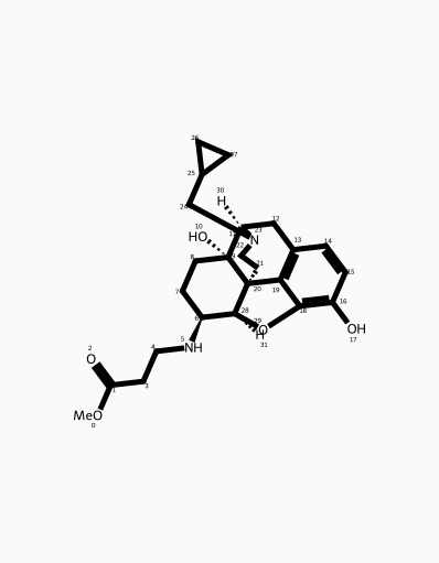 COC(=O)CCN[C@H]1CC[C@@]2(O)[C@H]3Cc4ccc(O)c5c4[C@@]2(CCN3CC2CC2)[C@H]1O5